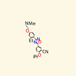 CCc1cc(OCCNC)ccc1-c1noc(-c2ccc(OC(C)C)c(C#N)c2)n1